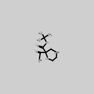 CC(C)(C)OC(=O)C1(C(=O)O)CNCCO1